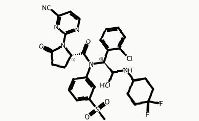 CS(=O)(=O)c1cccc(N(C(=O)[C@@H]2CCC(=O)N2c2nccc(C#N)n2)[C@@H](c2ccccc2Cl)C(O)NC2CCC(F)(F)CC2)c1